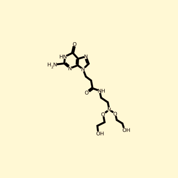 Nc1nc2c(ncn2CCC(=O)NCCN(OCCO)OCCO)c(=O)[nH]1